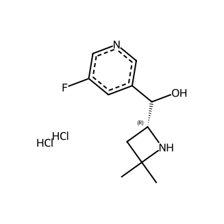 CC1(C)C[C@H](C(O)c2cncc(F)c2)N1.Cl.Cl